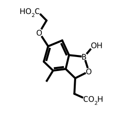 Cc1cc(OCC(=O)O)cc2c1C(CC(=O)O)OB2O